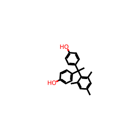 Cc1cc(C)c(C(C)(c2ccc(O)cc2)c2ccc(O)cc2)c(C)c1